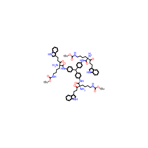 CC(C)(C)OC(=O)NCCCC[C@@](N)(C(=O)CCc1c[nH]c2ccccc12)C(=O)Nc1ccc(C(c2ccc(NC(=O)[C@@](N)(CCCCNC(=O)OC(C)(C)C)C(=O)CCc3c[nH]c4ccccc34)cc2)c2ccc(NC(=O)[C@@](N)(CCCCNC(=O)OC(C)(C)C)C(=O)CCc3c[nH]c4ccccc34)cc2)cc1